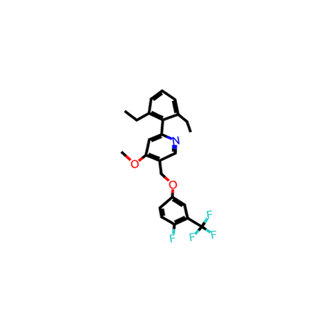 CCc1cccc(CC)c1-c1cc(OC)c(COc2ccc(F)c(C(F)(F)F)c2)cn1